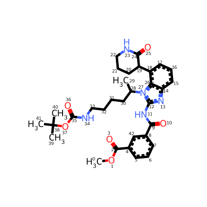 COC(=O)c1cccc(C(=O)Nc2nc3cccc(C4CCCNC4=O)c3n2C(C)CCCCNC(=O)OC(C)(C)C)c1